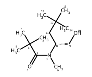 CN(C(=O)C(C)(C)C)[C@@H](CO)CC(C)(C)C